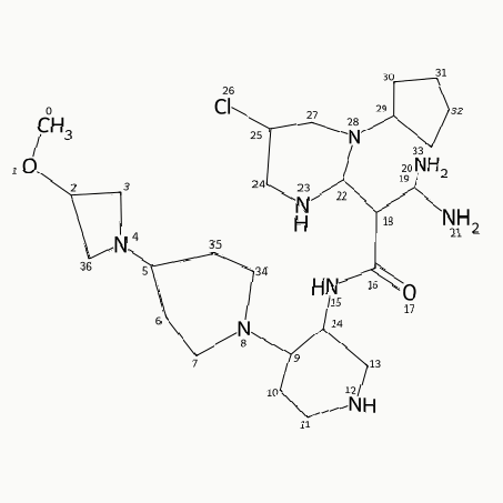 COC1CN(C2CCN(C3CCNCC3NC(=O)C(C(N)N)C3NCC(Cl)CN3C3CCCC3)CC2)C1